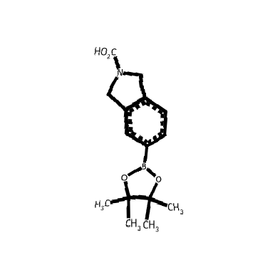 CC1(C)OB(c2ccc3c(c2)CN(C(=O)O)C3)OC1(C)C